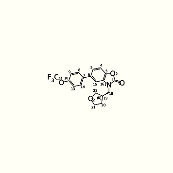 O=c1oc2ccc(-c3ccc(OC(F)(F)F)cc3)cc2n1C[C@H]1CCOC1